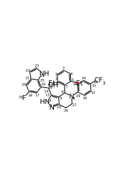 CCc1cccc(CC)c1C1c2c(n[nH]c2C(O)c2cc(F)cc3cc[nH]c23)CCN1c1ccc(C(F)(F)F)cc1